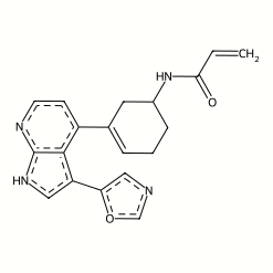 C=CC(=O)NC1CCC=C(c2ccnc3[nH]cc(-c4cnco4)c23)C1